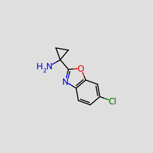 NC1(c2nc3ccc(Cl)cc3o2)CC1